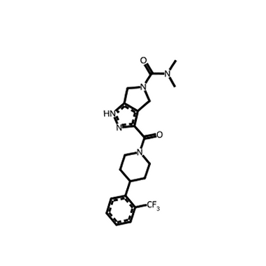 CN(C)C(=O)N1Cc2[nH]nc(C(=O)N3CCC(c4ccccc4C(F)(F)F)CC3)c2C1